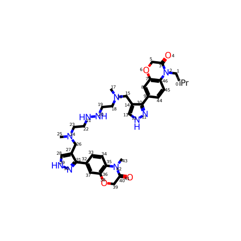 CC(C)CN1C(=O)COc2cc(-c3n[nH]cc3CN(C)CCNNCCN(C)Cc3c[nH]nc3-c3ccc4c(c3)OCC(=O)N4C)ccc21